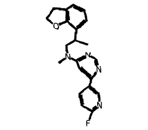 CC(CN(C)c1cc(-c2ccc(F)nc2)ncn1)c1cccc2c1OCC2